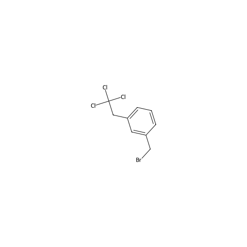 ClC(Cl)(Cl)Cc1cccc(CBr)c1